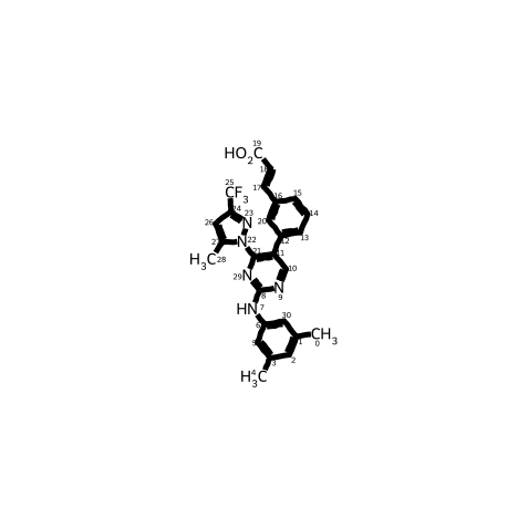 Cc1cc(C)cc(Nc2ncc(-c3cccc(C=CC(=O)O)c3)c(-n3nc(C(F)(F)F)cc3C)n2)c1